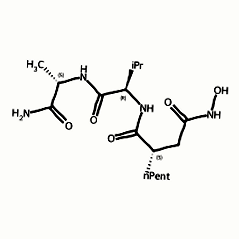 CCCCC[C@@H](CC(=O)NO)C(=O)N[C@@H](C(=O)N[C@@H](C)C(N)=O)C(C)C